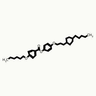 CCCCCCOc1ccc(C(=O)Oc2ccc(OCCCC3CCC(CCCCC)CC3)cc2)cc1